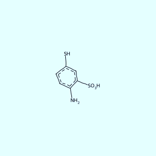 Nc1ccc(S)cc1S(=O)(=O)O